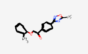 Cc1ccccc1OCC(=O)c1ccc(-c2noc(C(F)(F)F)n2)cc1